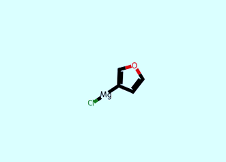 [Cl][Mg][c]1ccoc1